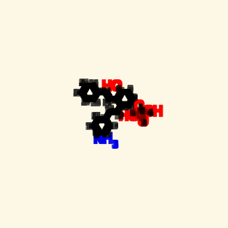 N.O=S(=O)(O)O.Oc1cccc(C=Cc2ccccc2)c1C=Cc1ccccc1